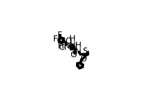 O=C(NCc1sccc1OCc1ccccc1)c1cc(NC(=O)c2cc(F)c(F)cc2Cl)[nH]n1